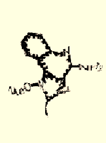 COn1c(C)nc2c(N)nc3ccccc3c21